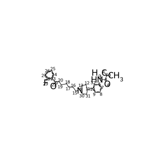 CC(C)C(=O)Nc1cccc(C2CCN(CCCCCCC(=O)c3ccccc3F)CC2)c1